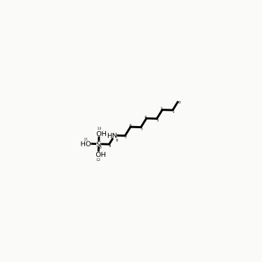 CCCCCCCCNC[Si](O)(O)O